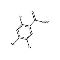 COC(=O)c1cc(Br)c(C(C)=O)cc1Br